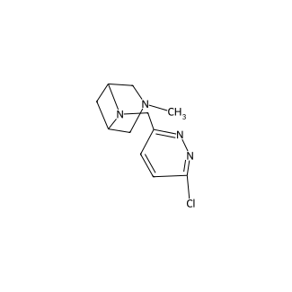 CN1CC2CC(C1)N2Cc1ccc(Cl)nn1